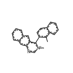 Cc1c(-c2c3cc4ccccc4cc3nc[n+]2C)ccc2ccccc12